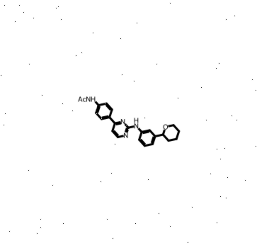 CC(=O)Nc1ccc(-c2ccnc(Nc3cccc(C4CCCCO4)c3)n2)cc1